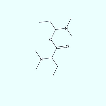 CCC(OC(=O)C(CC)N(C)C)N(C)C